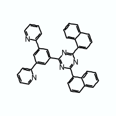 c1ccc(-c2cc(-c3ccccn3)cc(-c3nc(-c4cccc5ccccc45)nc(-c4cccc5ccccc45)n3)c2)nc1